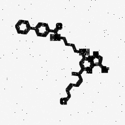 C=C(/C=C\C=C/CCl)c1cc(NCCCCNC(=O)c2ccc(-c3ccccc3)cc2)n2ncc(Br)c2n1